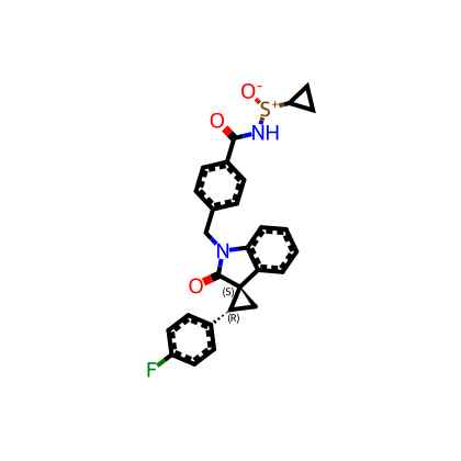 O=C(N[S+]([O-])C1CC1)c1ccc(CN2C(=O)[C@]3(C[C@@H]3c3ccc(F)cc3)c3ccccc32)cc1